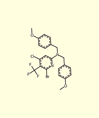 COc1ccc(CN(Cc2ccc(OC)cc2)c2cc(Cl)c(C(F)(F)F)c(Br)n2)cc1